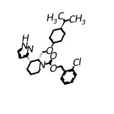 CC(C)[C@H]1CC[C@@H](OC[C@H]2[C@@H](c3cc[nH]n3)CCCN2C(=O)OCc2ccccc2Cl)CC1